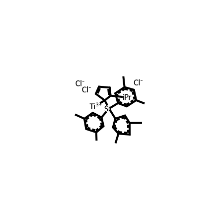 Cc1cc(C)cc([Si](c2cc(C)cc(C)c2)(c2cc(C)cc(C)c2)[C]2([Ti+3])C=CC=C2C(C)C)c1.[Cl-].[Cl-].[Cl-]